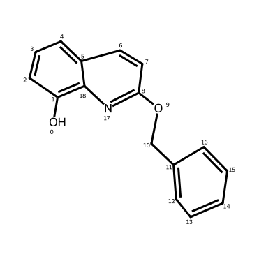 Oc1cccc2ccc(OCc3ccccc3)nc12